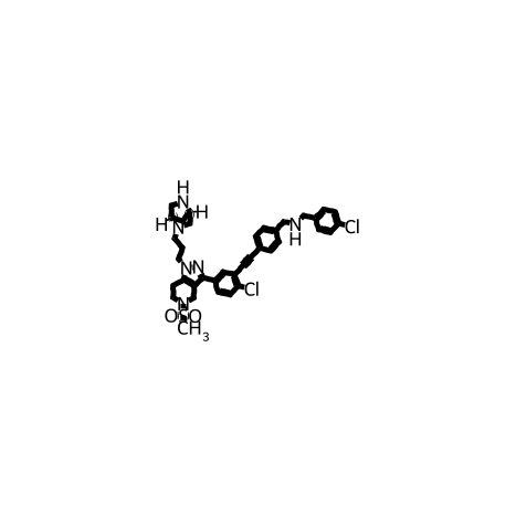 CS(=O)(=O)N1CCc2c(c(-c3ccc(Cl)c(C#Cc4ccc(CNCc5ccc(Cl)cc5)cc4)c3)nn2CCCN2C[C@H]3C[C@@H]2CN3)C1